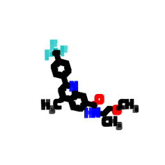 COC[C@H](C)NC(=O)c1ccc2c(C)cc(-c3ccc(C(F)(F)F)cc3)nc2c1